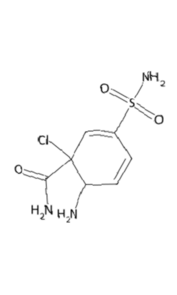 NC(=O)C1(Cl)C=C(S(N)(=O)=O)C=CC1N